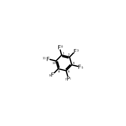 Fc1c(F)c(F)c([P])c(F)c1F